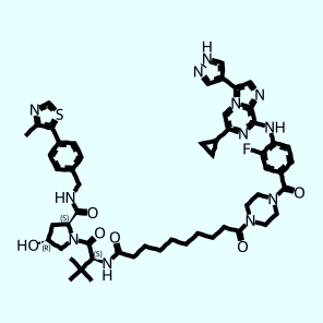 Cc1ncsc1-c1ccc(CNC(=O)[C@@H]2C[C@@H](O)CN2C(=O)[C@@H](NC(=O)CCCCCCCCC(=O)N2CCN(C(=O)c3ccc(Nc4nc(C5CC5)cn5c(-c6cn[nH]c6)cnc45)c(F)c3)CC2)C(C)(C)C)cc1